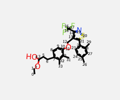 CCOC(O)CCc1ccc(OCc2c(C(F)(F)F)nsc2-c2ccc(C)cc2C)c(C)c1C